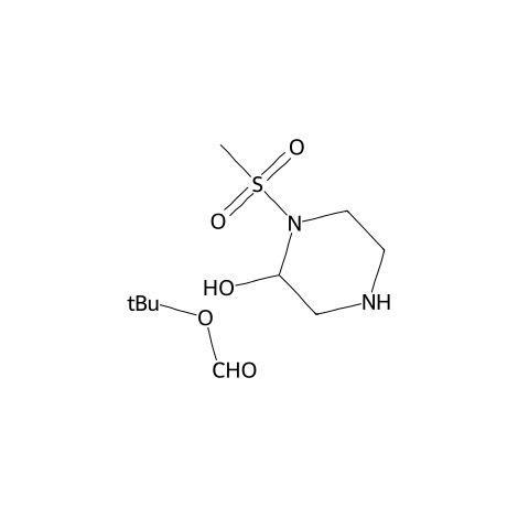 CC(C)(C)OC=O.CS(=O)(=O)N1CCNCC1O